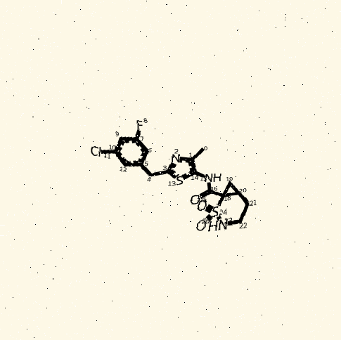 Cc1nc(Cc2cc(F)cc(Cl)c2)sc1NC(=O)C12CC1CCNS2(=O)=O